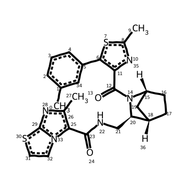 Cc1cccc(-c2sc(C)nc2C(=O)N2[C@@H]3CC[C@@H](C3)[C@H]2CNC(=O)c2c(C)nc3sccn23)c1